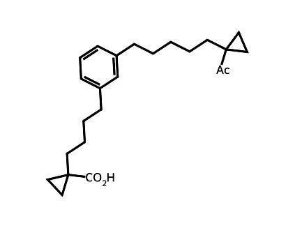 CC(=O)C1(CCCCCc2cccc(CCCCC3(C(=O)O)CC3)c2)CC1